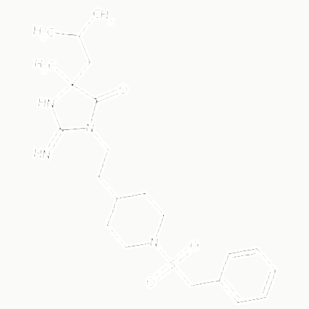 CC(C)CC1(C)NC(=N)N(CCC2CCN(S(=O)(=O)Cc3ccccc3)CC2)C1=O